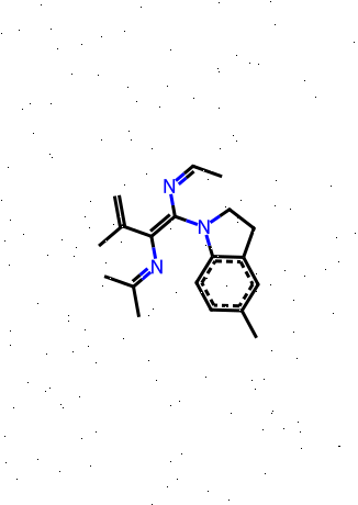 C=C(C)/C(N=C(C)C)=C(\N=C/C)N1CCc2cc(C)ccc21